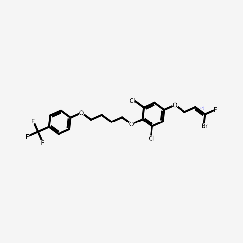 F/C(Br)=C/COc1cc(Cl)c(OCCCCOc2ccc(C(F)(F)F)cc2)c(Cl)c1